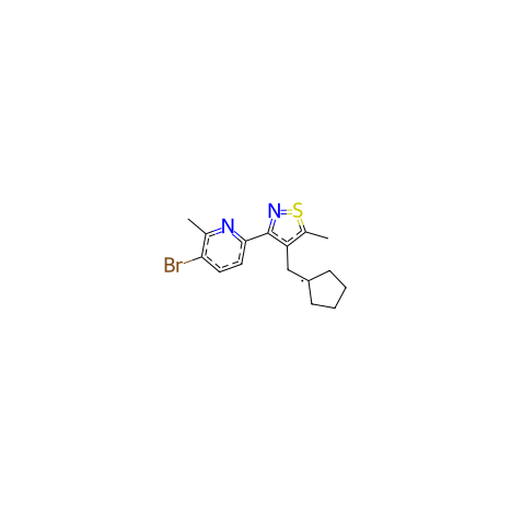 Cc1nc(-c2nsc(C)c2C[C]2CCCC2)ccc1Br